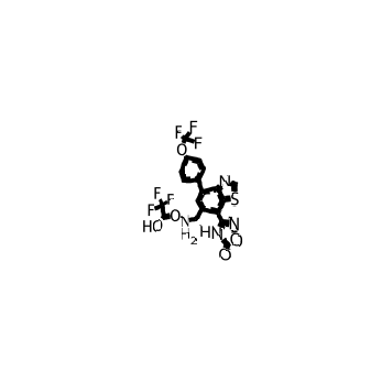 NCc1cc(-c2ccc(OC(F)(F)F)cc2)c2ncsc2c1-c1noc(=O)[nH]1.O=C(O)C(F)(F)F